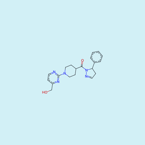 O=C(C1CCN(c2nccc(CO)n2)CC1)N1N=CCC1c1ccccc1